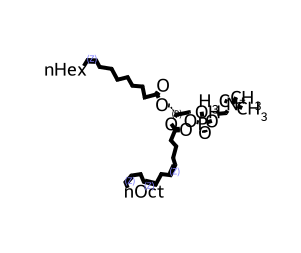 CCCCCC/C=C\CCCCCCCC(=O)OC[C@H](COP(=O)(O)OCC[N+](C)(C)C)OC(=O)CCC/C=C\C/C=C\C/C=C\CCCCCCCC